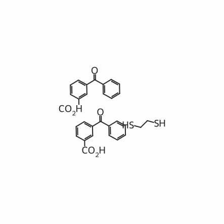 O=C(O)c1cccc(C(=O)c2ccccc2)c1.O=C(O)c1cccc(C(=O)c2ccccc2)c1.SCCS